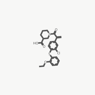 C=C(C(=O)N1CCCC(C(=O)O)C1)c1ccc(Sc2ccccc2OCC)c(Cl)c1